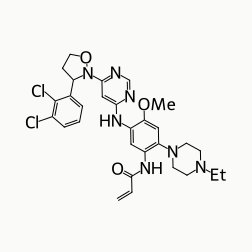 C=CC(=O)Nc1cc(Nc2cc(N3OCCC3c3cccc(Cl)c3Cl)ncn2)c(OC)cc1N1CCN(CC)CC1